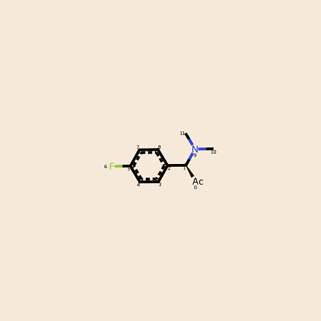 CC(=O)[C@@H](c1ccc(F)cc1)N(C)C